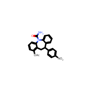 CC(=O)Oc1cccc2c1CC(c1ccc([N+](=O)[O-])cc1)c1ccccc1N2C(N)=O